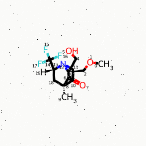 COC[C@@]1(CO)C(=O)[C@@]2(C)CCN1[C@@H](C(F)(F)F)C2